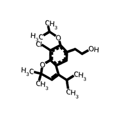 CC(C)Oc1c(CCO)cc2c(c1Cl)OC(C)(C)C=C2C(C)C